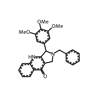 COc1cc(C2c3[nH]c4ccccc4c(=O)c3CN2Cc2ccccc2)cc(OC)c1OC